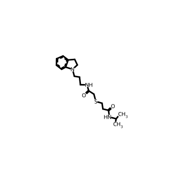 CC(C)NC(=O)CCSCC(=O)NCCCN1CCc2ccccc21